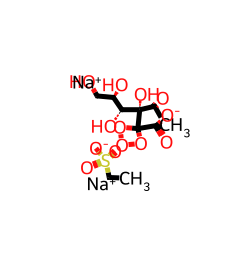 CC(=O)[C@](O)([C@H](O)[C@H](O)CO)C1(C(=O)[O-])OOO1.CCS(=O)(=O)[O-].[Na+].[Na+]